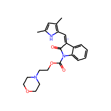 Cc1cc(C)c(/C=C2\C(=O)N(C(=O)OCCN3CCOCC3)c3ccccc32)[nH]1